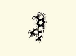 CC(C)(C)OC(=O)N(CC(F)(F)F)c1cc(C(=O)O)c(F)cc1F